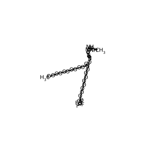 CCCCc1nc2c(N)nc3ccc(N4CCN(CCOCCN(CCOCCOCCOCCOCCOCCOCCOCCOCCC(=O)Oc5c(F)c(F)cc(F)c5F)C(=O)CCOCCOCCOCCOCCOCCOCCOCCOCCOCCOC)CC4)cc3c2[nH]1